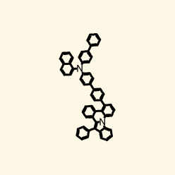 c1ccc(-c2ccc(N(c3ccc(-c4ccc(-c5cccc6c5c5ccccc5c5c(-c7ccccc7)c7ccccc7n65)cc4)cc3)c3cccc4ccccc34)cc2)cc1